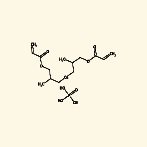 C=CC(=O)OCC(C)[CH2][Ca][CH2]C(C)COC(=O)C=C.O=P(O)(O)O